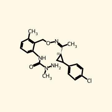 CC(=NOCc1c(C)cccc1NC(=O)N(C)N)[C@H]1CC1c1ccc(Cl)cc1